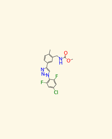 COC(=O)NCc1cc(-c2cn(-c3c(F)cc(Cl)cc3F)nn2)ccc1C